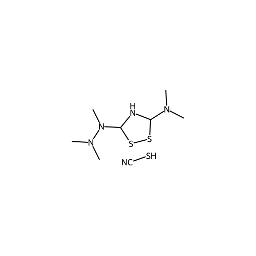 CN(C)C1NC(N(C)N(C)C)SS1.N#CS